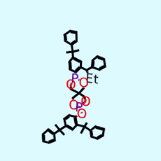 CCC(c1ccccc1)c1cc(C(C)(C)c2ccccc2)ccc1P1OCC2(COP(Oc3ccc(C(C)(C)c4ccccc4)cc3C(C)(C)c3ccccc3)OC2)CO1